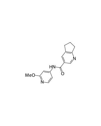 COc1cc(NC(=O)c2cnc3c(c2)CCC3)ccn1